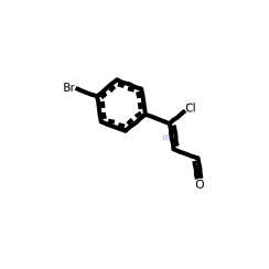 O=C/C=C(\Cl)c1ccc(Br)cc1